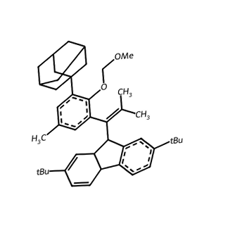 COCOc1c(C(=C(C)C)C2c3cc(C(C)(C)C)ccc3C3C=CC(C(C)(C)C)=CC32)cc(C)cc1C12CC3CC(CC(C3)C1)C2